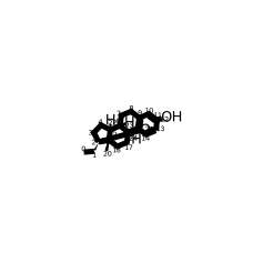 CC[C@@]12CC[C@H]3[C@@H]4CCc5cc(O)c(cc5[C@H]4CC[C@@]31C)O2